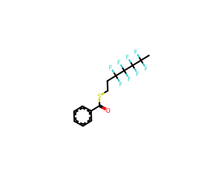 CC(F)(F)C(F)(F)C(F)(F)C(F)(F)CCSC(=O)c1ccccc1